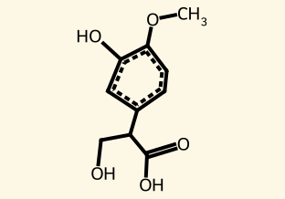 COc1ccc(C(CO)C(=O)O)cc1O